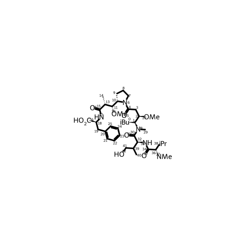 CC[C@H](C)[C@@H]([C@@H](CC(=O)N1CCC[C@H]1[C@H](OC)[C@@H](C)C(=O)N[C@@H](Cc1ccccc1)C(=O)O)OC)N(C)C(=O)[C@@H](NC(=O)[C@@H](NC)C(C)C)C(C)CO